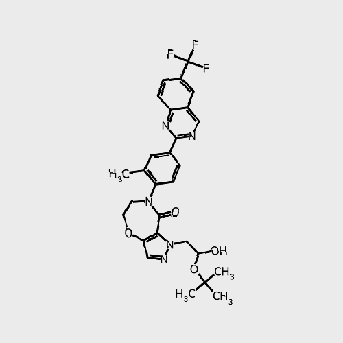 Cc1cc(-c2ncc3cc(C(F)(F)F)ccc3n2)ccc1N1CCOc2cnn(CC(O)OC(C)(C)C)c2C1=O